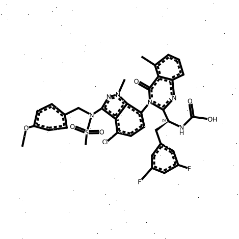 COc1ccc(CN(c2nn(C)c3c(-n4c([C@H](Cc5cc(F)cc(F)c5)NC(=O)O)nc5cccc(C)c5c4=O)ccc(Cl)c23)S(C)(=O)=O)cc1